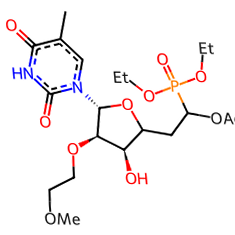 CCOP(=O)(OCC)C(CC1O[C@@H](n2cc(C)c(=O)[nH]c2=O)[C@H](OCCOC)[C@@H]1O)OC(C)=O